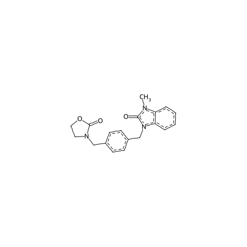 Cn1c(=O)n(Cc2ccc(CN3CCOC3=O)cc2)c2ccccc21